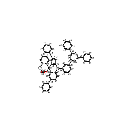 C1=CC2Oc3ccccc3C3(c4cc(-c5ccccc5)ccc4N(c4cccc(-c5nc(-c6ccccc6)nc(-c6ccccc6)n5)c4)c4ccc(-c5ccccc5)cc43)C2C=C1